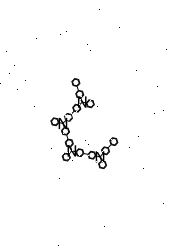 C1=CC(N(c2ccccc2)c2ccc(-c3ccc(N(c4ccccc4)c4ccc(-c5ccc(N(c6ccccc6)c6ccc(-c7ccccc7)cc6)cc5)cc4)cc3)cc2)CC=C1c1ccc(N(c2ccccc2)c2ccc(-c3ccccc3)cc2)cc1